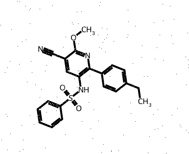 CCc1ccc(-c2nc(OC)c(C#N)cc2NS(=O)(=O)c2ccccc2)cc1